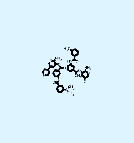 CC(Oc1cc(-c2ccncc2)cnc1N)c1cccc(NC(=O)c2cccc(N(C)C)c2)c1.Cc1cccc(C(=O)Nc2cccc(C(C)Oc3cc(Cl)cnc3N)c2)c1